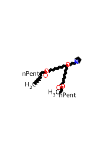 C=C=C=C=CC(CCCCC)CC(=O)OCCCCCCCCC(CCCCCCCCOC(=O)CC(C)CCCCC)OCCCN1CCCC1